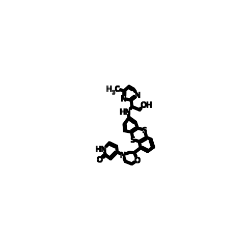 Cc1ccnc(C(CO)Nc2ccc3c(c2)Sc2cccc(C4CN(c5cc[nH]c(=O)c5)CCO4)c2S3)n1